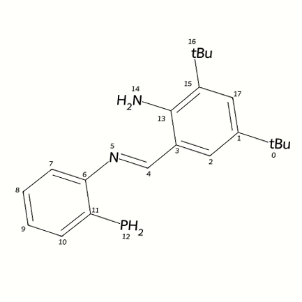 CC(C)(C)c1cc(/C=N/c2ccccc2P)c(N)c(C(C)(C)C)c1